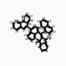 CC1(C)c2ccccc2-c2nc3ccc4ccccc4c3c(-c3ccc(-c4cc5cccnc5c5ncccc45)c4ccccc34)c21